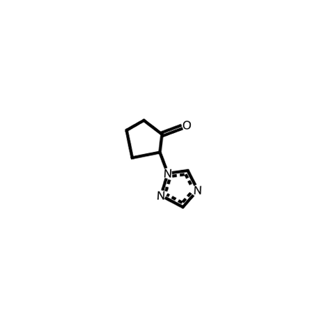 O=C1CCCC1n1cncn1